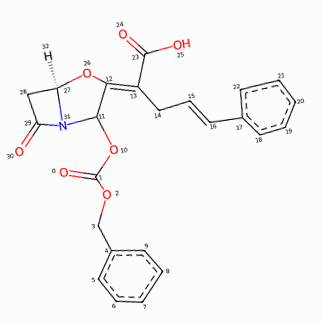 O=C(OCc1ccccc1)OC1C(=C(CC=Cc2ccccc2)C(=O)O)O[C@@H]2CC(=O)N12